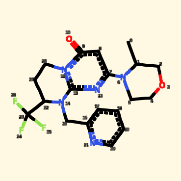 CC1COCCN1c1cc(=O)n2c(n1)N(Cc1ccccn1)C(C(F)(F)F)CC2